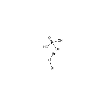 BrOBr.O=P(O)(O)O